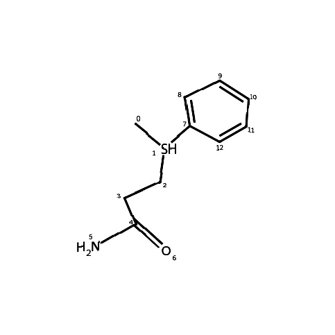 C[SH](CCC(N)=O)c1ccccc1